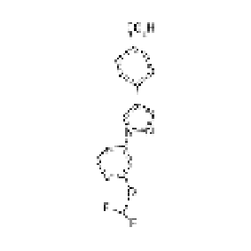 O=C(O)c1ccc(-c2cnn(-c3cccc(OC(F)F)c3)c2)cc1